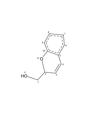 OCC1C=Cc2ccccc2O1